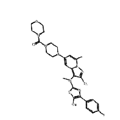 CCc1nn2c(C)cc(N3CCN(C(=O)N4CCOCC4)CC3)cc2c1N(C)c1nc(-c2ccc(F)cc2)c(C#N)s1